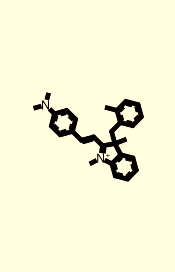 Cc1ccccc1CC1(C)C(/C=C/c2ccc(N(C)C)cc2)=[N+](C)c2ccccc21